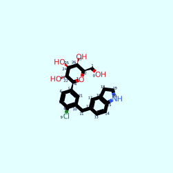 OC[C@H]1O[C@@H](c2ccc(Cl)c(Cc3ccc4c(c3)CCN4)c2)[C@H](O)[C@@H](O)[C@@H]1O